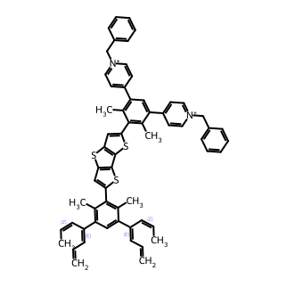 C=C/C=C(\C=C/C)c1cc(C(/C=C\C)=C/C=C)c(C)c(-c2cc3sc4cc(-c5c(C)c(-c6cc[n+](Cc7ccccc7)cc6)cc(-c6cc[n+](Cc7ccccc7)cc6)c5C)sc4c3s2)c1C